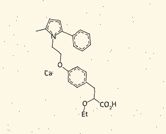 CCOC(Cc1ccc(OCCn2c(C)ccc2-c2ccccc2)cc1)C(=O)O.[Ca]